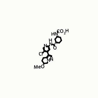 COC1CCc2c(-c3cc(NC(=O)[C@H]4CCC[C@@H](NC(=O)O)C4)ncc3Cl)cnn2C1